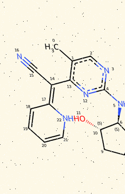 Cc1cnc(N[C@H]2CCC[C@@H]2O)nc1C(C#N)=C1C=CC=CN1